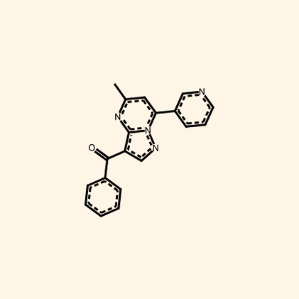 Cc1cc(-c2cccnc2)n2ncc(C(=O)c3ccccc3)c2n1